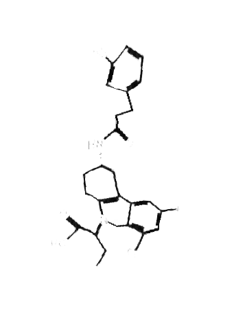 CCC(C(=O)O)n1c2c(c3cc(F)cc(Cl)c31)C[C@@H](NC(=O)CCc1cccc(O)c1)CC2